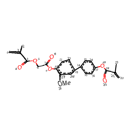 C=C(C)C(=O)OCC(=O)Oc1ccc(-c2ccc(OC(=O)C(=C)C)cc2)cc1OC